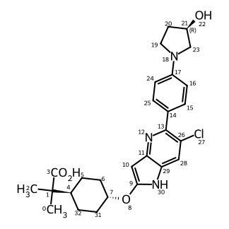 CC(C)(C(=O)O)[C@H]1CC[C@H](Oc2cc3nc(-c4ccc(N5CC[C@@H](O)C5)cc4)c(Cl)cc3[nH]2)CC1